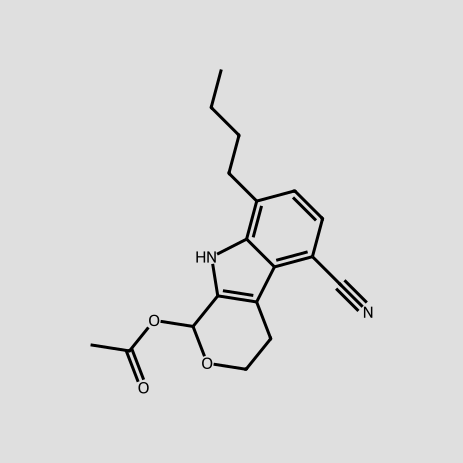 CCCCc1ccc(C#N)c2c3c([nH]c12)C(OC(C)=O)OCC3